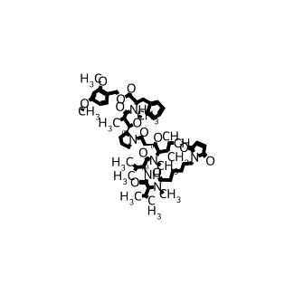 CCC(C)C([C@@H](CC(=O)N1CCC[C@H]1C(OC)C(C)C(=O)NC(Cc1ccccc1)C(=O)OCc1ccc(OC)cc1OC)OC)N(C)C(=O)[C@@H](NC(=O)C(C(C)C)N(C)C(=O)CCCCCN1C(=O)C=CC1=O)C(C)C